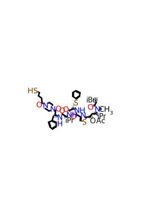 CC[C@H](C)CC(=O)N(C)[C@H](C[C@@H](OC(C)=O)c1nc(C(=O)N[C@@H](CSc2ccccc2)C(=O)N[C@H](C(=O)N[C@@H](Cc2ccccc2)C(=O)N2CCN(C(=O)CCCS)CC2)C(C)C)cs1)C(C)C